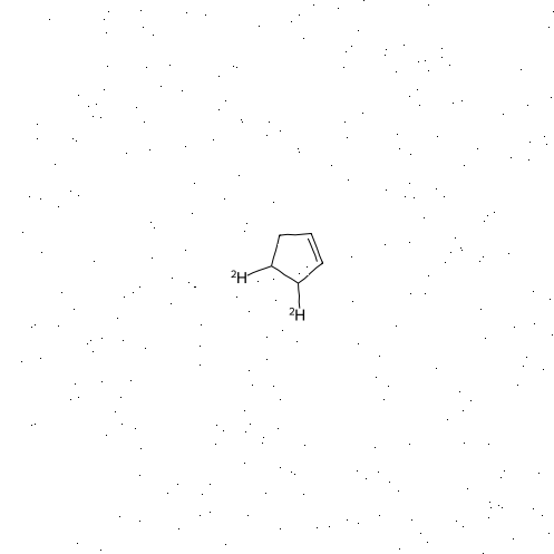 [2H]C1C=CCC1[2H]